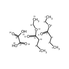 CCCC(=O)OCC.CCCC(=O)OCC.O=C(O)C(=O)O